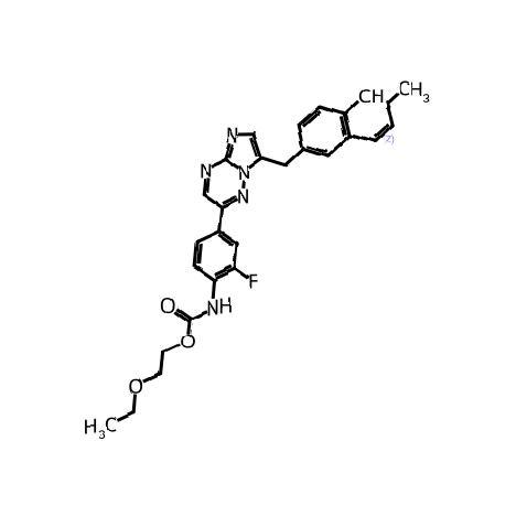 CC/C=C\c1cc(Cc2cnc3ncc(-c4ccc(NC(=O)OCCOCC)c(F)c4)nn23)ccc1C